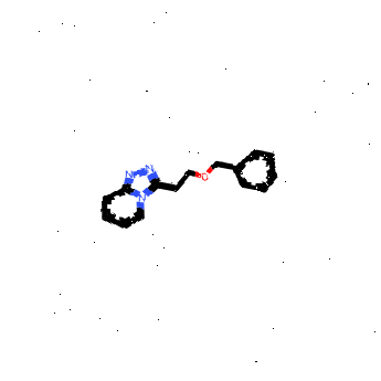 c1ccc(COCCc2nnc3ccccn23)cc1